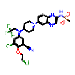 CS(=O)(=O)Nc1cnc2cc(N3CCC(N(CC(F)(F)F)c4cc(Cl)c(OCCCl)c(C#N)c4)CC3)ccc2n1